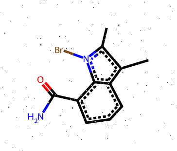 Cc1c(C)n(Br)c2c(C(N)=O)cccc12